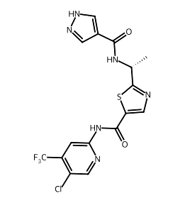 C[C@@H](NC(=O)c1cn[nH]c1)c1ncc(C(=O)Nc2cc(C(F)(F)F)c(Cl)cn2)s1